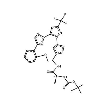 COc1ccccc1-c1nnc(-c2cc(C(F)(F)F)nn2-c2csc(CNC(=O)[C@H](C)NC(=O)OC(C)(C)C)c2)o1